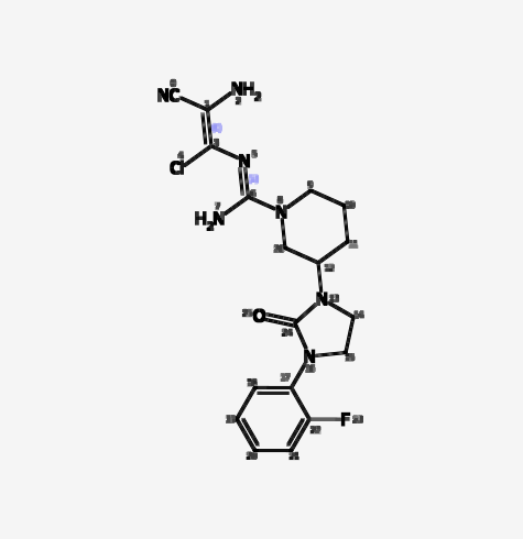 N#C/C(N)=C(Cl)/N=C(\N)N1CCCC(N2CCN(c3ccccc3F)C2=O)C1